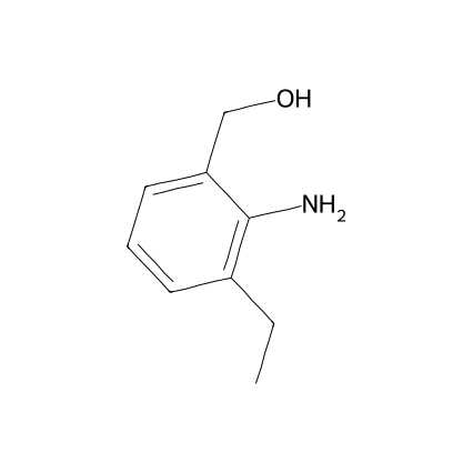 CCc1cccc(CO)c1N